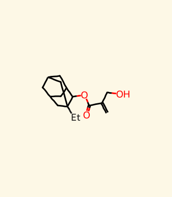 C=C(CO)C(=O)OC1C2CC3CC(C2)CC1(CC)C3